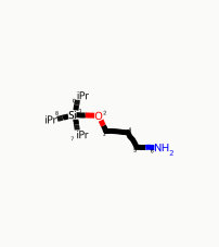 CC(C)[Si](OCCCN)(C(C)C)C(C)C